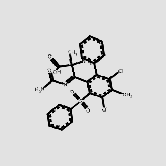 CC(N)(C(=O)O)C(=NC(N)=O)c1c(-c2ccccc2)c(Cl)c(N)c(Cl)c1S(=O)(=O)c1ccccc1